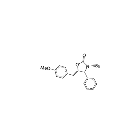 CCCCN1C(=O)OC(=Cc2ccc(OC)cc2)C1c1ccccc1